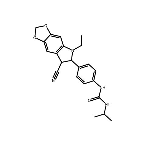 CCN1c2cc3c(cc2C(C#N)C1c1ccc(NC(=O)NC(C)C)cc1)OCO3